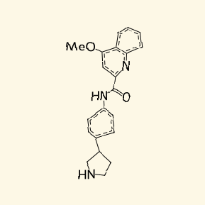 COc1cc(C(=O)Nc2ccc(C3CCNC3)cc2)nc2ccccc12